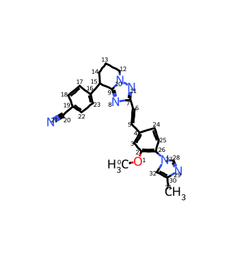 COc1cc(C=Cc2nc3n(n2)CCCC3c2ccc(C#N)cc2)ccc1-n1cnc(C)c1